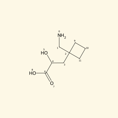 NCC1(CC(O)C(=O)O)CCC1